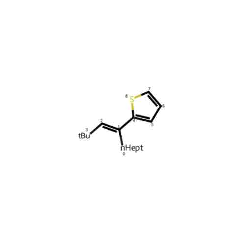 CCCCCCC/C(=C\C(C)(C)C)c1cccs1